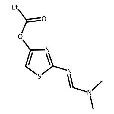 CCC(=O)Oc1csc(N=CN(C)C)n1